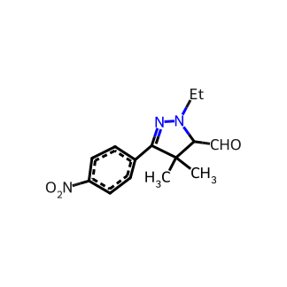 CCN1N=C(c2ccc([N+](=O)[O-])cc2)C(C)(C)C1C=O